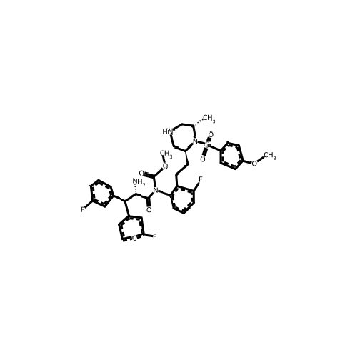 COC(=O)N(C(=O)[C@@H](N)C(c1cccc(F)c1)c1cccc(F)c1)c1cccc(F)c1CC[C@H]1CNC[C@H](C)N1S(=O)(=O)c1ccc(OC)cc1